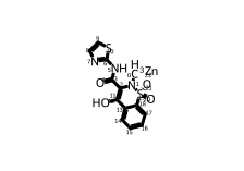 CN1C(C(=O)Nc2nccs2)=C(O)c2ccccc2S1(=O)=O.[Zn]